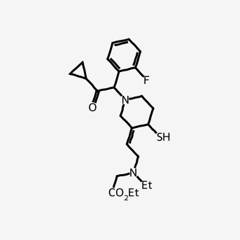 CCOC(=O)CN(CC)C/C=C1/CN(C(C(=O)C2CC2)c2ccccc2F)CCC1S